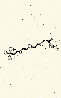 CC(N)COCCOCCOCCP(=O)(O)O